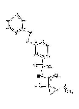 C=C[C@@H]1C[C@]1(N)C(=C)NS(=O)(=O)c1cccc(CCc2ccccc2)c1